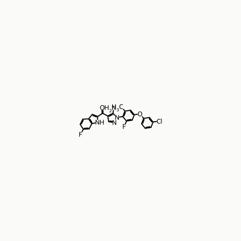 Cc1cc(Oc2cccc(Cl)c2)cc(F)c1-n1ncc(C(=O)c2cc3ccc(F)cc3[nH]2)c1N